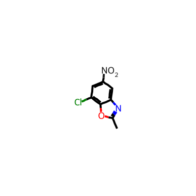 Cc1nc2cc([N+](=O)[O-])cc(Cl)c2o1